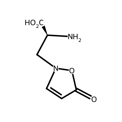 N[C@@H](Cn1ccc(=O)o1)C(=O)O